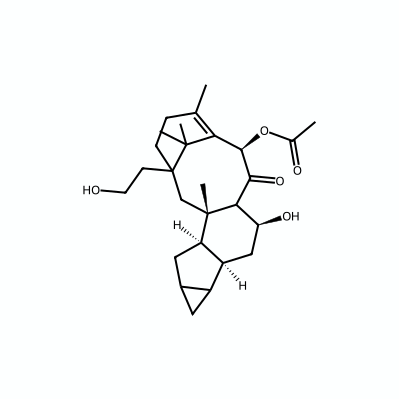 CC(=O)O[C@H]1C(=O)C2[C@@H](O)C[C@H]3C4CC4C[C@H]3[C@]2(C)CC2(CCO)CCC(C)=C1C2(C)C